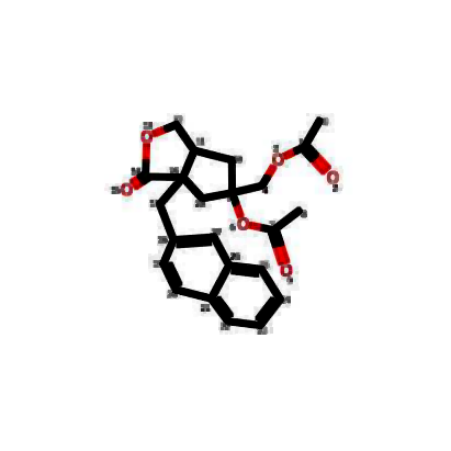 CC(=O)OCC1(OC(C)=O)CC2COC(=O)C2(Cc2ccc3ccccc3c2)C1